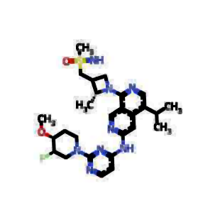 CO[C@H]1CCN(c2nccc(Nc3cc4c(C(C)C)cnc(N5CC(C[S@@](C)(=N)=O)[C@H]5C)c4cn3)n2)C[C@H]1F